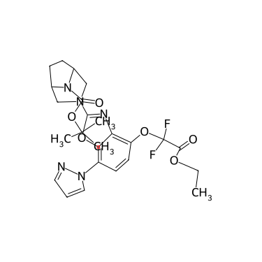 CCOC(=O)C(F)(F)Oc1ccc(-n2cccn2)c2oc(N3CC4CCC(C3)N4C(=O)OC(C)(C)C)nc12